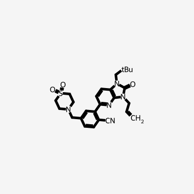 C=CCn1c(=O)n(CC(C)(C)C)c2ccc(-c3cc(CN4CCS(=O)(=O)CC4)ccc3C#N)nc21